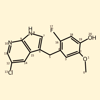 COc1cc(Cc2c[nH]c3ncc(Cl)cc23)c(F)cc1O